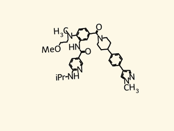 COCCN(C)c1ccc(C(=O)N2CCC(c3ccc(-c4cnn(C)c4)cc3)CC2)cc1NC(=O)c1ccc(NC(C)C)nc1